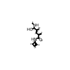 C=C(/C=C(\F)C(O)NC)C(=O)NC12CC(C1)C2